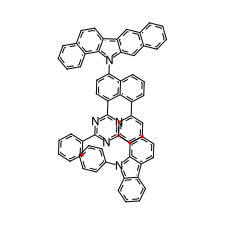 c1ccc(-c2nc(-c3ccc(-n4c5cc6ccccc6cc5c5ccc6ccccc6c54)c4cccc(-c5ccccc5)c34)nc(-c3cccc4c5ccccc5n(-c5ccccc5)c34)n2)cc1